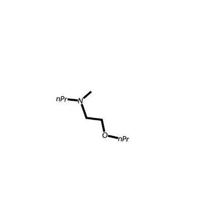 CCCOCCN(C)CCC